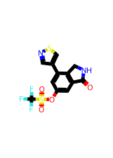 O=C1NCc2c1cc(OS(=O)(=O)C(F)(F)F)cc2-c1cnsc1